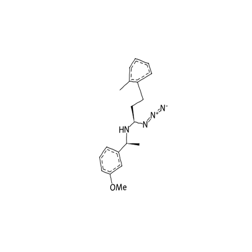 COc1cccc([C@H](C)N[C@@H](CCc2ccccc2C)N=[N+]=[N-])c1